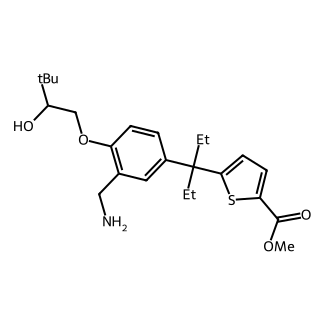 CCC(CC)(c1ccc(OCC(O)C(C)(C)C)c(CN)c1)c1ccc(C(=O)OC)s1